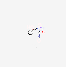 O=C(O)COC/C=C/CC1C(=O)NC(=O)N1CCC(O)C1CCCCC1